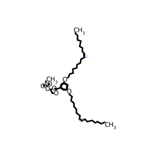 CCCCCCCC/C=C\CCCCCCCCOc1cc(OCCCCCCCC/C=C\CCCCCCCC)cc(C2OCC(OS(=O)(=O)CC)O2)c1